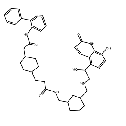 O=C(CCN1CCC(OC(=O)Nc2ccccc2-c2ccccc2)CC1)NCC1CCCC(CNCC(O)c2ccc(O)c3[nH]c(=O)ccc23)C1